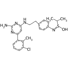 Cc1c(Cl)cccc1-c1cc(NCCc2ccc(/N=S(/O)C(C)C)cc2)nc(N)n1